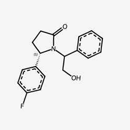 O=C1CC[C@@H](c2ccc(F)cc2)N1C(CO)c1ccccc1